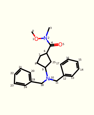 CON(C)C(=O)C1CCC(N(Cc2ccccc2)Cc2ccccc2)C1